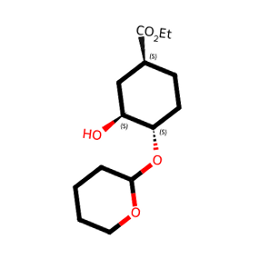 CCOC(=O)[C@H]1CC[C@H](OC2CCCCO2)[C@@H](O)C1